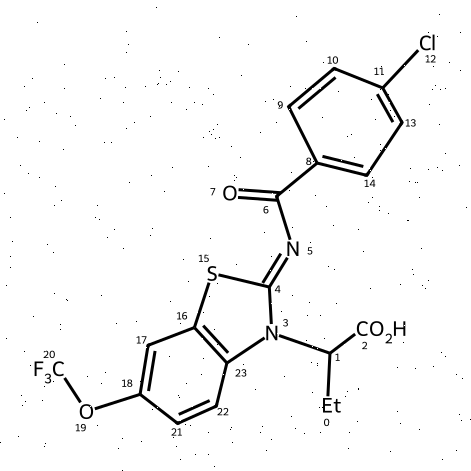 CCC(C(=O)O)n1c(=NC(=O)c2ccc(Cl)cc2)sc2cc(OC(F)(F)F)ccc21